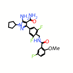 COc1ccc(F)cc1C(=O)NCc1c(F)cc(-c2nn(C3CCCC3)c(N)c2C(N)=O)cc1F